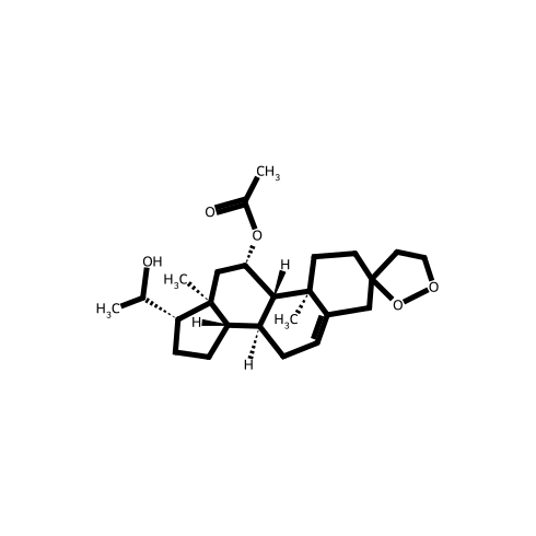 CC(=O)O[C@H]1C[C@]2(C)[C@@H](C(C)O)CC[C@H]2[C@@H]2CC=C3CC4(CCOO4)CC[C@]3(C)[C@H]21